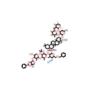 CCC1O[C@@H](OC2[C@H](O[C@H]3CCC4(C)C5CC=C6C7CC(C)(C)CC[C@]7(C(=O)O[C@@H]7OC(COCc8ccccc8)[C@H](N=[N+]=[N-])C(C)C7O[C@@H]7OC(C)[C@H](O[C@@H]8OC[C@@H](O)C(O[C@@H]9OC[C@]%10(CC)O[C@@H](c%11ccccc%11)OC9%10)C8C)C8OC(C)(C)OC87)C(OC)C[C@@]6(C)C5(C)CC[C@H]4[C@@]3(C)C=O)OC(C(C)=O)[C@@H](C)[C@@H]2O[C@@H]2OC[C@@H](C)[C@H](C)C2C)C(C)[C@@H](C)[C@H]1C